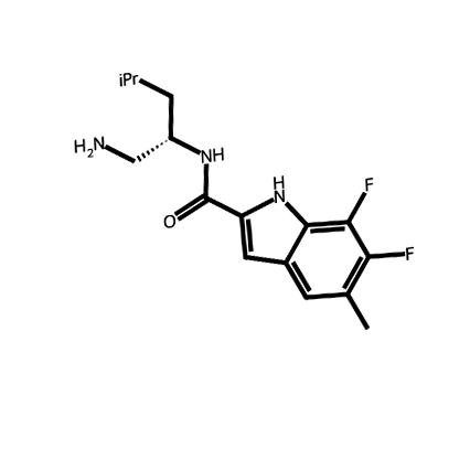 Cc1cc2cc(C(=O)N[C@H](CN)CC(C)C)[nH]c2c(F)c1F